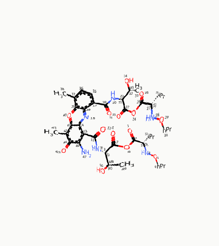 CCCON[C@H](C(=O)OC(=O)[C@@H](NC(=O)c1c2nc3c(C(=O)N[C@H](C(=O)OC(=O)[C@@H](NOCCC)C(C)C)[C@@H](C)O)ccc(C)c3oc-2c(C)c(=O)c1N)[C@@H](C)O)C(C)C